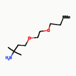 CNCCOCCOCCC(C)(C)N